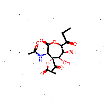 CCC(=O)C1OC(=O)[C@H](NC(C)=O)[C@](OC(C)=O)(C(C)=O)[C@H](O)[C@@H]1O